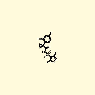 Cc1noc(C)c1S(=O)(=O)NC(=O)C1(c2ccc(Cl)cc2Cl)CC1